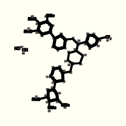 COc1cc(-c2cccc(CN(c3ccc(C(F)(F)F)cc3)C3CCN(Cc4ccnc(-c5cc(OC)c(OC)c(OC)c5)c4)CC3)c2)cc(OC)c1OC.Cl.Cl